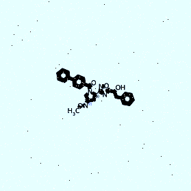 CO/N=C1/C[C@@H](c2noc(C(O)Cc3ccccc3)n2)N(C(=O)c2ccc(-c3ccccc3)cc2)C1